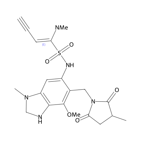 C#C/C=C(\NC)S(=O)(=O)Nc1cc2c(c(OC)c1CN1C(=O)CC(C)C1=O)NCN2C